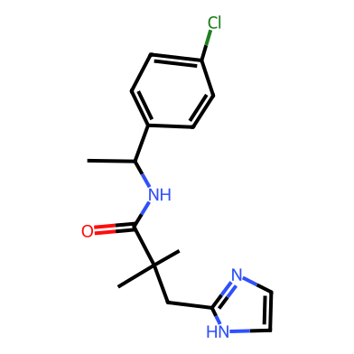 CC(NC(=O)C(C)(C)Cc1ncc[nH]1)c1ccc(Cl)cc1